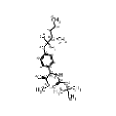 [2H]C([2H])(Oc1ccc([C@@H](NC(=O)OC(C)(C)C)C(=O)OC)cc1)[C@@H](C)CCC